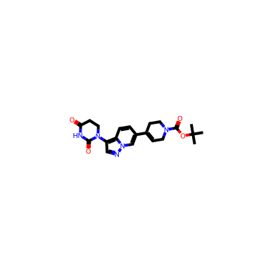 CC(C)(C)OC(=O)N1CC=C(c2ccc3c(N4CCC(=O)NC4=O)cnn3c2)CC1